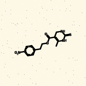 CC1=C(C(=O)OCCc2ccc([N+](=O)[O-])cc2)CNC(=S)N1